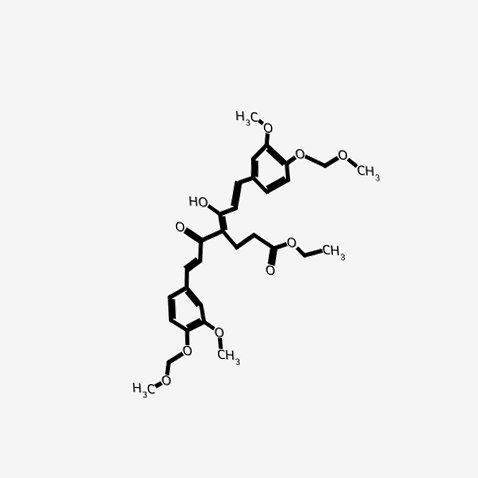 CCOC(=O)CC/C(C(=O)/C=C/c1ccc(OCOC)c(OC)c1)=C(O)\C=C\c1ccc(OCOC)c(OC)c1